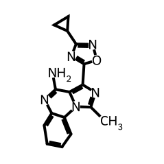 Cc1nc(-c2nc(C3CC3)no2)c2c(N)nc3ccccc3n12